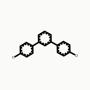 Clc1ccc(-c2cccc(-c3ccc(Cl)cc3)c2)cc1